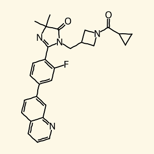 CC1(C)N=C(c2ccc(-c3ccc4cccnc4c3)cc2F)N(CC2CN(C(=O)C3CC3)C2)C1=O